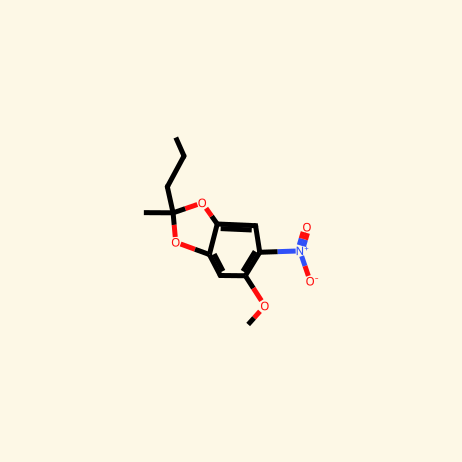 CCCC1(C)Oc2cc(OC)c([N+](=O)[O-])cc2O1